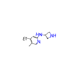 CCc1cc(NC2CNC2)ncc1C